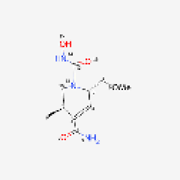 COC[C@@H]1C=C(C(N)=O)[C@@H](C)CN1C(=O)NO